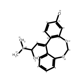 CC(/C=C1\c2ccccc2OCOc2cc(Cl)ccc21)N(C)C